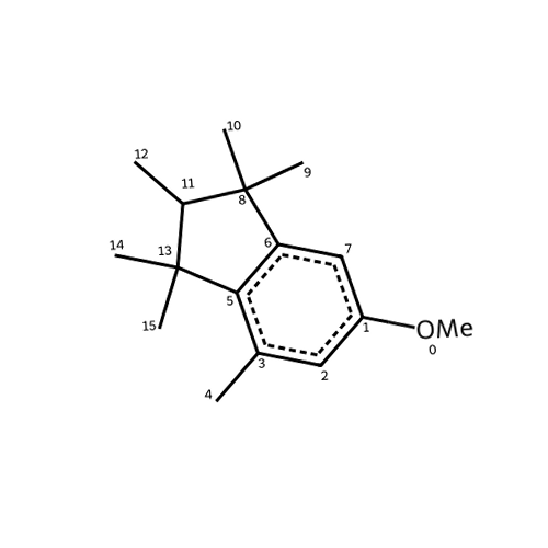 COc1cc(C)c2c(c1)C(C)(C)C(C)C2(C)C